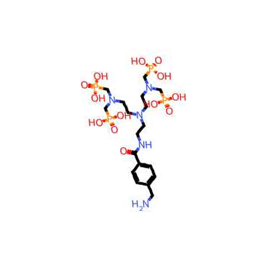 NCc1ccc(C(=O)NCCN(CCN(CP(=O)(O)O)CP(=O)(O)O)CCN(CP(=O)(O)O)CP(=O)(O)O)cc1